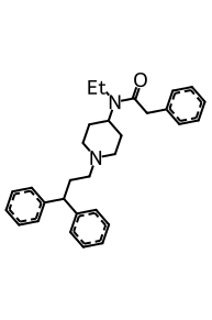 CCN(C(=O)Cc1ccccc1)C1CCN(CCC(c2ccccc2)c2ccccc2)CC1